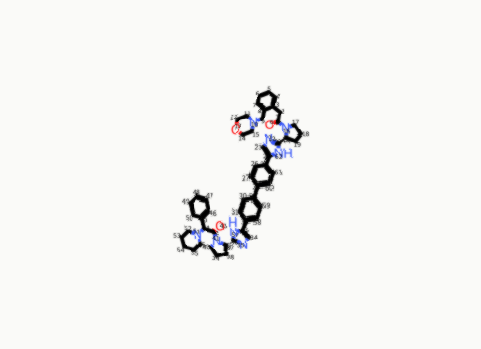 O=C(Cc1ccccc1CN1CCOCC1)N1CCC[C@H]1c1ncc(-c2ccc(-c3ccc(-c4cnc([C@@H]5CCCN5C(=O)C(c5ccccc5)N5CCCCC5)[nH]4)cc3)cc2)[nH]1